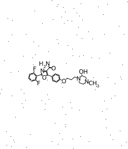 CN1CCN(CCCOc2ccc(-c3oc(-c4c(F)cccc4F)nc3C(N)=O)cc2)C(O)C1